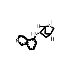 c1cc(N[C@@H]2C[C@@H]3CN[C@@H]2C3)c2ccncc2c1